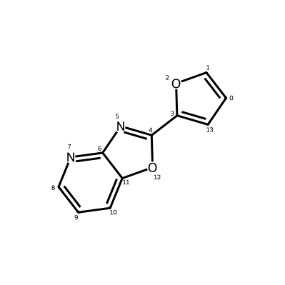 c1coc(-c2nc3ncccc3o2)c1